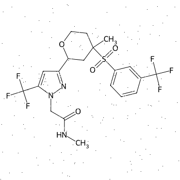 CNC(=O)Cn1nc(C2CC(C)(S(=O)(=O)c3cccc(C(F)(F)F)c3)CCO2)cc1C(F)(F)F